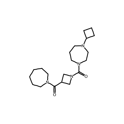 O=C(C1CN(C(=O)N2CCCN(C3CCC3)CC2)C1)N1CCCCCC1